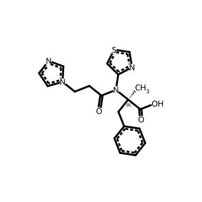 C[C@@](Cc1ccccc1)(C(=O)O)N(C(=O)CCn1ccnc1)c1cscn1